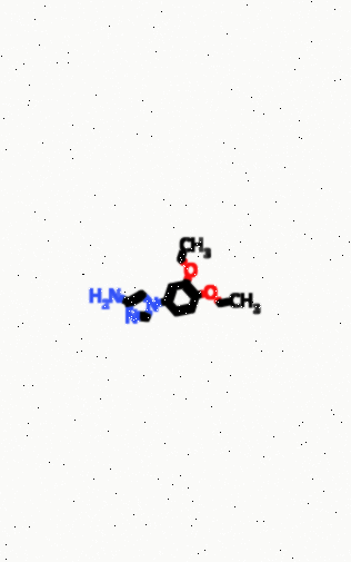 CCOc1ccc(-n2cnc(N)c2)cc1OCC